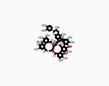 O=C1OC[C@H]2OC(=O)c3cc(O)c(O)c(O)c3-c3c(O)c(O)c(O)c4c3C(=O)O[C@H]([C@H]3OC(=O)c5c-4c(O)c(O)c(O)c5[C@H]3c3c(O)cc4c(c3O)C[C@H](O)[C@@H](c3ccc(O)c(O)c3)O4)[C@@H]2OC(=O)c2cc(O)c(O)c(O)c2-c2c1cc(O)c(O)c2O